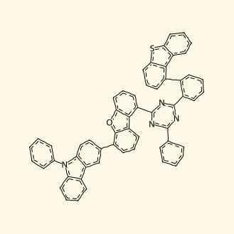 c1ccc(-c2nc(-c3ccccc3-c3cccc4sc5ccccc5c34)nc(-c3cccc4oc5c(-c6ccc7c(c6)c6ccccc6n7-c6ccccc6)cccc5c34)n2)cc1